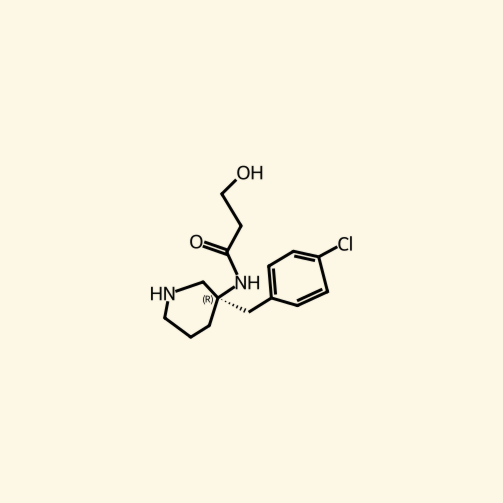 O=C(CCO)N[C@@]1(Cc2ccc(Cl)cc2)CCCNC1